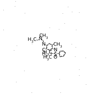 CCN(C)C=Nc1cc(C)c(N=S(=O)(c2ccccc2)C(C)C)cc1C